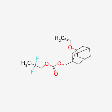 C=COC12CC3CC(CC(COC(=O)OCC(C)(F)F)(C3)C1)C2